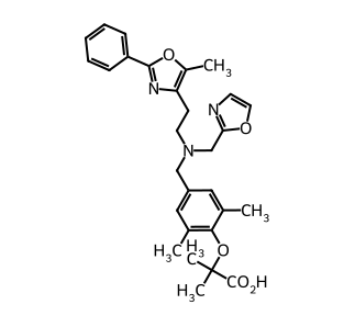 Cc1cc(CN(CCc2nc(-c3ccccc3)oc2C)Cc2ncco2)cc(C)c1OC(C)(C)C(=O)O